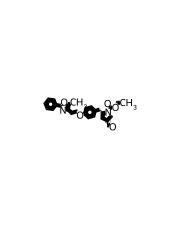 CCOC(=O)N1C[C@@H](C=O)C[C@@H]1Cc1ccc(OCCc2nc(-c3ccccc3)oc2C)cc1